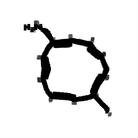 Nc1ccccc(I)cccc1